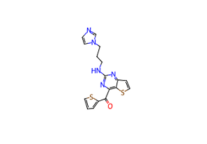 O=C(c1cccs1)c1nc(NCCCn2ccnc2)nc2ccsc12